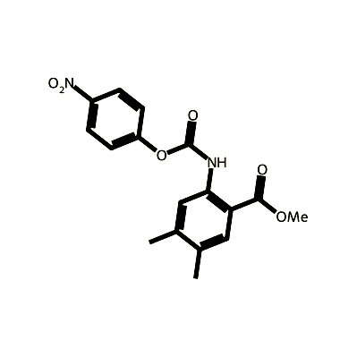 COC(=O)c1cc(C)c(C)cc1NC(=O)Oc1ccc([N+](=O)[O-])cc1